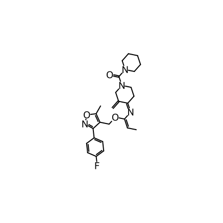 C=C1CN(C(=O)N2CCCCC2)CC/C1=N/C(=C\C)OCc1c(-c2ccc(F)cc2)noc1C